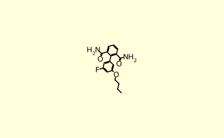 CCCCOc1cc(F)cc(-c2c(C(N)=O)cccc2C(N)=O)c1